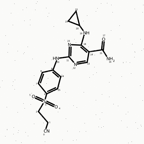 N#CCCS(=O)(=O)c1ccc(Nc2ncc(C(N)=O)c(NC3CC3)n2)cc1